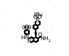 CC(C)(C)OC(=O)N1CCc2cc(C#Cc3c(C(N)=O)ccc4cnc(Nc5ccc(S(C)(=O)=O)cc5)cc34)ccc2C1